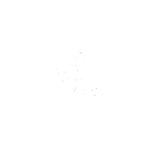 CCCCN(C(=O)CN1C[C@H](c2ccc3c(c2)OCO3)[C@@H](C=O)[C@@H]1CC(C)(C)C1OCCO1)c1ccc[n+](C)c1